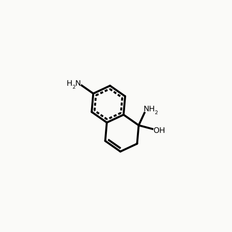 Nc1ccc2c(c1)C=CCC2(N)O